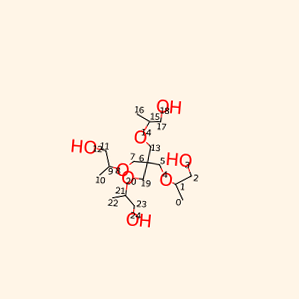 CC(CO)OCC(COC(C)CO)(COC(C)CO)COC(C)CO